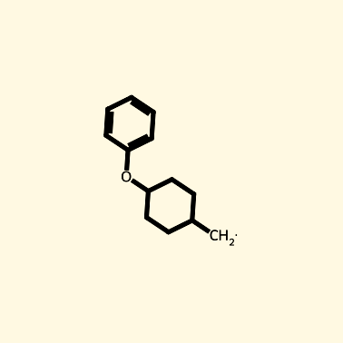 [CH2]C1CCC(Oc2ccccc2)CC1